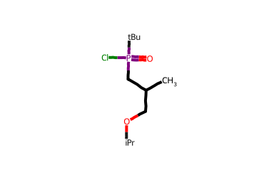 CC(COC(C)C)CP(=O)(Cl)C(C)(C)C